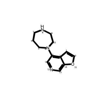 c1cc2c(N3CCCNCC3)cncc2o1